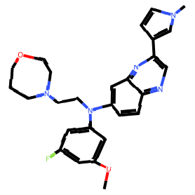 COc1cc(F)cc(N(CCN2CCCOCC2)c2ccc3ncc(-c4ccn(C)c4)nc3c2)c1